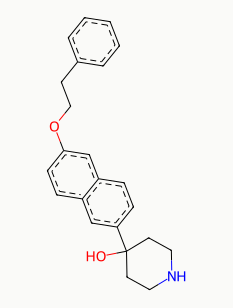 OC1(c2ccc3cc(OCCc4ccccc4)ccc3c2)CCNCC1